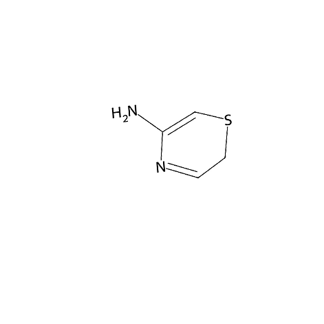 NC1=CSCC=N1